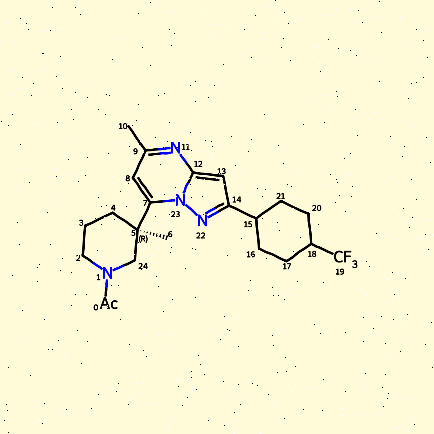 CC(=O)N1CCC[C@@](C)(c2cc(C)nc3cc(C4CCC(C(F)(F)F)CC4)nn23)C1